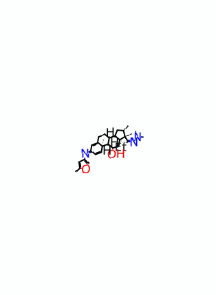 CC/C(=N/N(C)C)[C@@]1(C)[C@H](C)C[C@H]2[C@@H]3CCC4=C/C(=N/c5coc(C)c5)C=C[C@]4(C)[C@H]3[C@@H](O)C[C@@]21C